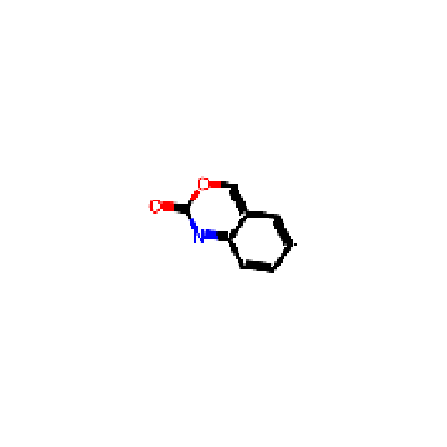 O=c1nc2cc[c]cc2co1